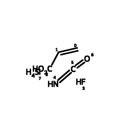 C=CC(=O)O.F.N=C=O.[SiH4]